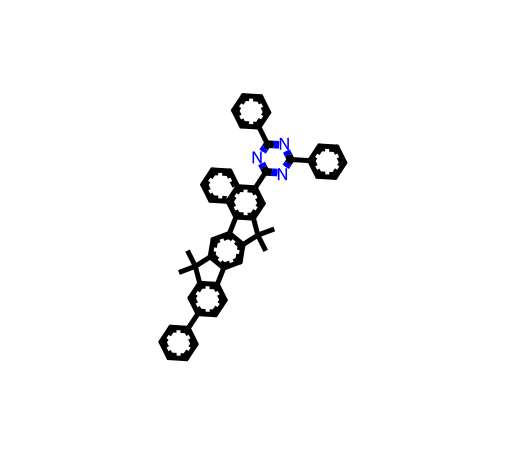 CC1(C)c2cc(-c3ccccc3)ccc2-c2cc3c(cc21)-c1c(cc(-c2nc(-c4ccccc4)nc(-c4ccccc4)n2)c2ccccc12)C3(C)C